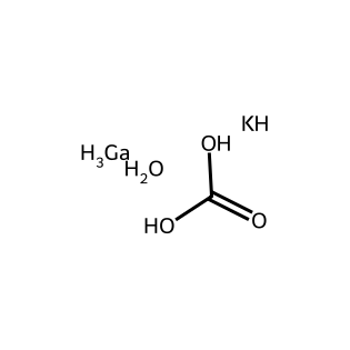 O.O=C(O)O.[GaH3].[KH]